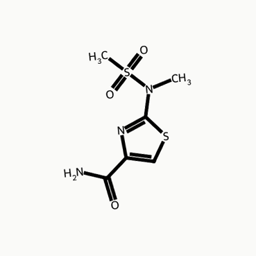 CN(c1nc(C(N)=O)cs1)S(C)(=O)=O